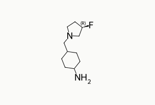 NC1CCC(CN2CC[C@@H](F)C2)CC1